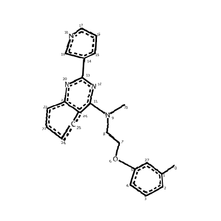 Cc1cccc(OCCN(C)c2nc(-c3cccnc3)nc3ccccc23)c1